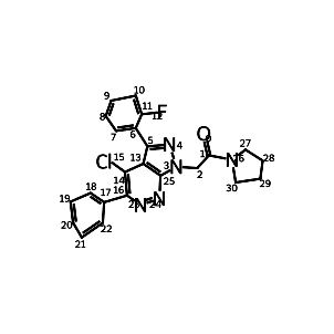 O=C(Cn1nc(-c2ccccc2F)c2c(Cl)c(-c3ccccc3)nnc21)N1CCCC1